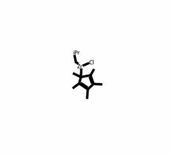 CC1=C(C)[C](C)([Zr]([Cl])[CH2]C(C)C)C(C)=C1C